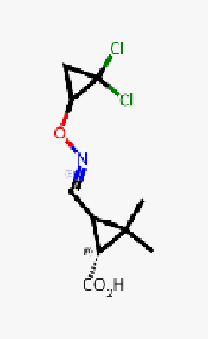 CC1(C)C(/C=N/OC2CC2(Cl)Cl)[C@H]1C(=O)O